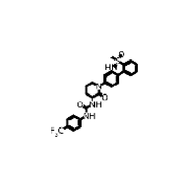 CS(=N)(=O)c1ccccc1-c1ccc(N2CCC[C@@H](NC(=O)Nc3ccc(C(F)(F)F)cc3)C2=O)cc1